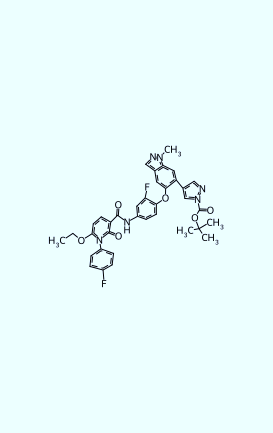 CCOc1ccc(C(=O)Nc2ccc(Oc3cc4cnn(C)c4cc3-c3cnn(C(=O)OC(C)(C)C)c3)c(F)c2)c(=O)n1-c1ccc(F)cc1